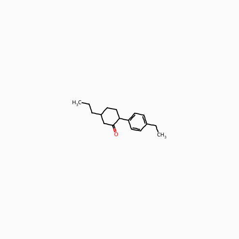 CCCC1CCC(c2ccc(CC)cc2)C(=O)C1